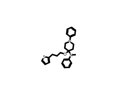 CN(c1ccccc1)C1(OCCCc2cccs2)CCN(c2ccccc2)CC1